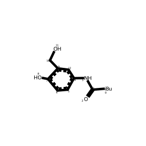 CCC(C)C(=O)Nc1ccc(O)c(CO)c1